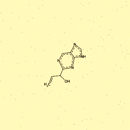 C=CC(O)c1ncc2nc[nH]c2n1